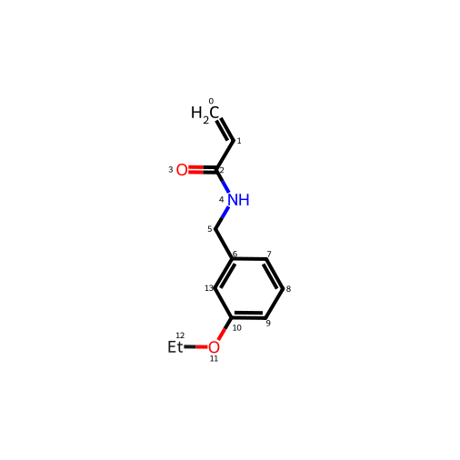 C=CC(=O)NCc1cccc(OCC)c1